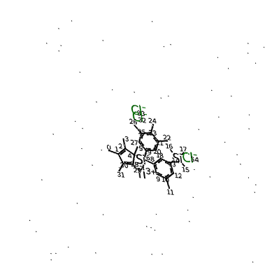 CC1=C(C)C(C)([Si](C)(c2cc(C)cc([Si](C)(C)C)c2)c2cc(C)c(C)c(C)c2)[C]([Ti+3])=C1C.[Cl-].[Cl-].[Cl-]